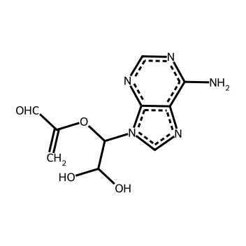 C=C(C=O)OC(C(O)O)n1cnc2c(N)ncnc21